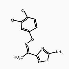 Nc1nc(C(=NOc2ccc(Cl)c(Cl)c2)C(=O)O)ns1